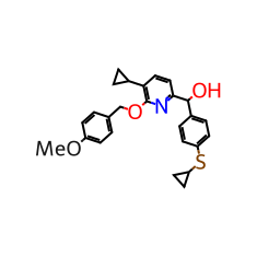 COc1ccc(COc2nc(C(O)c3ccc(SC4CC4)cc3)ccc2C2CC2)cc1